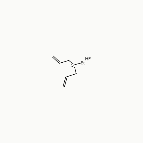 C=CC[Si](CC)CC=C.F